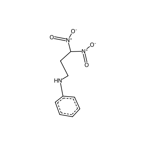 O=[N+]([O-])C(CCNc1ccccc1)[N+](=O)[O-]